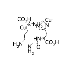 NCC(=O)N[C@@H](CC1=NC=NC1)C(=O)O.NCCCC[C@H](N)C(=O)O.[Cu].[Cu]